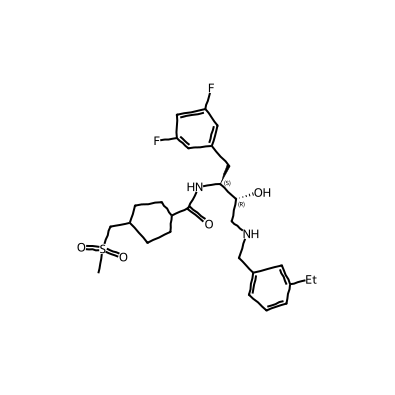 CCc1cccc(CNC[C@@H](O)[C@H](Cc2cc(F)cc(F)c2)NC(=O)C2CCC(CS(C)(=O)=O)CC2)c1